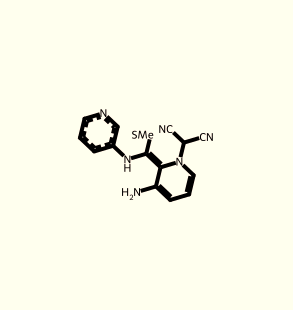 CSC(Nc1cccnc1)=C1C(N)=CC=CN1C(C#N)C#N